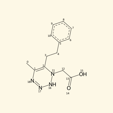 CC1=C(CCc2ccccc2)N(CC(=O)O)NN=N1